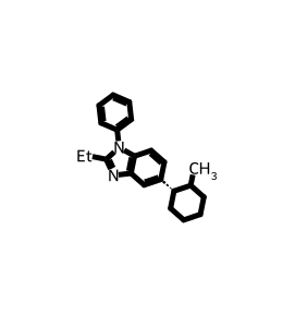 CCc1nc2cc([C@H]3CCCCC3C)ccc2n1-c1ccccc1